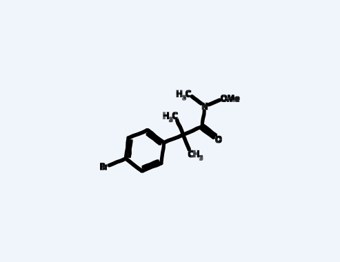 CON(C)C(=O)C(C)(C)c1ccc(Br)cc1